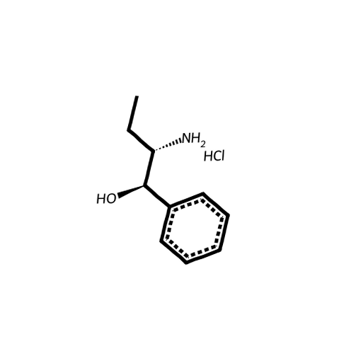 CC[C@H](N)[C@H](O)c1ccccc1.Cl